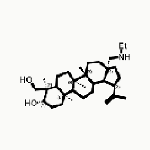 C=C(C)[C@@H]1CC[C@]2(CNCC)CC[C@]3(C)C(CCC4[C@@]5(C)CC[C@H](O)[C@@](C)(CO)C5CC[C@]43C)C12